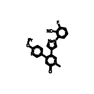 CC(C)Oc1ccc(-c2cc(=O)n(C)cc2-c2cnn(-c3cccc(F)c3C#N)c2)cn1